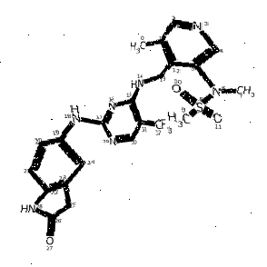 Cc1cncc(N(C)S(C)(=O)=O)c1CNc1nc(Nc2ccc3c(c2)CC(=O)N3)ncc1C(F)(F)F